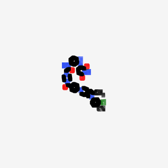 C[C@H]1CC2(CCN(c3ccc(C(=O)N4CCN(CC(=O)NC5=CC(NC6CCC(=O)NC6=O)CC=C5)CC4)cc3)CC2)CN1c1ccc(C#N)c(Cl)c1